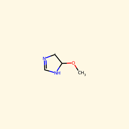 COC1[C]N=CN1